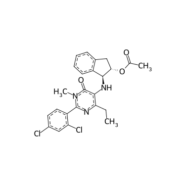 CCc1nc(-c2ccc(Cl)cc2Cl)n(C)c(=O)c1N[C@H]1c2ccccc2C[C@@H]1OC(C)=O